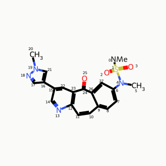 CNS(=O)(=O)N(C)c1ccc2ccc3ncc(-c4cnn(C)c4)cc3c(=O)c2c1